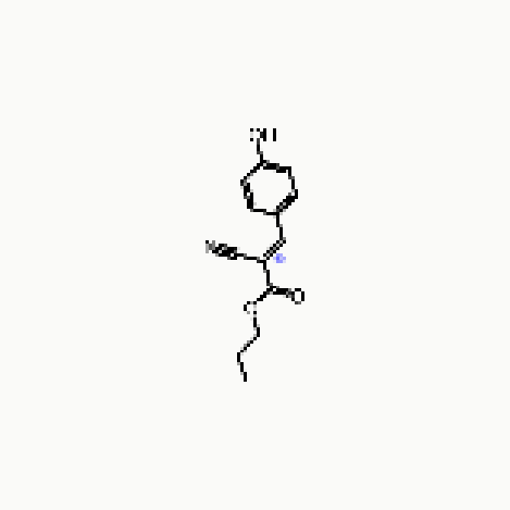 CCCOC(=O)/C(C#N)=C/c1ccc(O)cc1